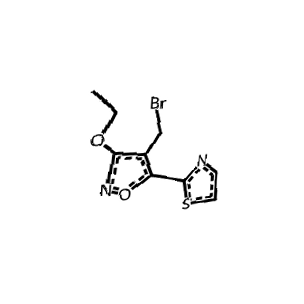 CCOc1noc(-c2nccs2)c1CBr